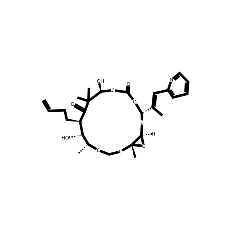 C=CCC[C@H]1C(=O)C(C)(C)[C@@H](O)CC(=O)O[C@H](C(C)=Cc2ccccn2)C[C@H]2O[C@]2(C)CCC[C@H](C)[C@@H]1O